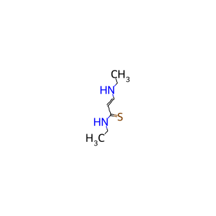 CCN/C=C/C(=S)NCC